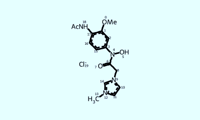 COc1cc(N(O)C(=O)Cn2cc[n+](C)c2)ccc1NC(C)=O.[Cl-]